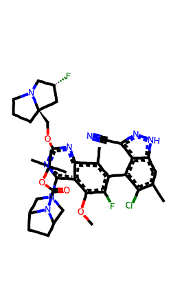 COc1c(F)c(-c2c(Cl)c(C)cc3[nH]nc(C#N)c23)c(C)c2nc(OC[C@@]34CCCN3C[C@H](F)C4)nc(N3CC4CCC(C3)N4C(=O)OC(C)(C)C)c12